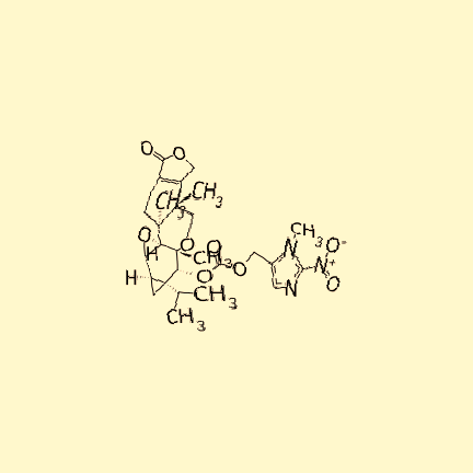 CC(C)[C@]12C[C@H]1[C@@H]1O[C@@]13[C@@]1(C)CCC4=C(COC4=O)[C@]1(C)CO[C@]3(C)[C@@H]2OC(=O)OCc1cnc([N+](=O)[O-])n1C